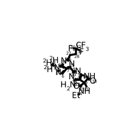 [2H]C([2H])([2H])n1ncc2c(-c3nc(N)c4c(n3)NC(=O)C4(C)C(=O)NCC)nc(CCC(F)(F)C(F)(F)F)nc21